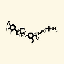 CCc1cc(Nc2nccn3c(-c4ccc(OC)c(F)c4F)cnc23)ccc1C(=O)NCCOCC(C)(C)N